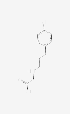 O=C(O)CNCCCc1ccc(Cl)cc1